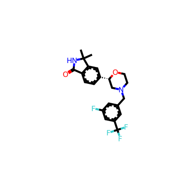 CC1(C)NC(=O)c2ccc([C@H]3CN(Cc4cc(F)cc(C(F)(F)F)c4)CCO3)cc21